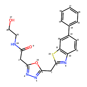 O=C(Cc1nnc(Cc2nc3ccc(-c4ccccc4)cc3s2)o1)NCCO